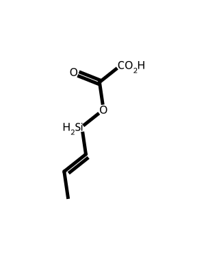 CC=C[SiH2]OC(=O)C(=O)O